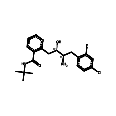 CC(C)(C)NC(=O)c1cccnc1C[C@H](O)[C@H](N)Cc1ccc(Cl)cc1F